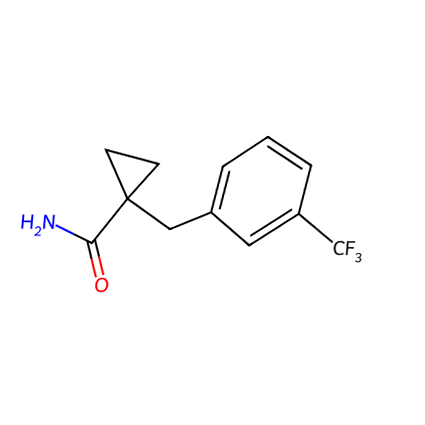 NC(=O)C1(Cc2cccc(C(F)(F)F)c2)CC1